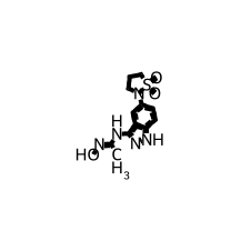 C/C(=N\O)Nc1n[nH]c2ccc(N3CCCS3(=O)=O)cc12